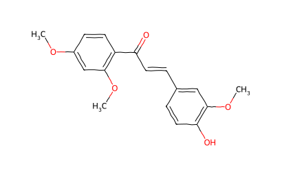 COc1ccc(C(=O)C=Cc2ccc(O)c(OC)c2)c(OC)c1